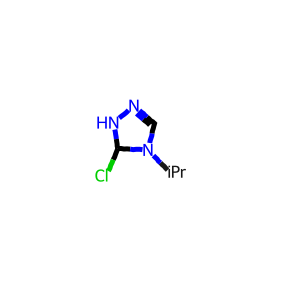 CC(C)N1C=NNC1Cl